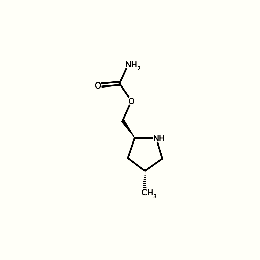 C[C@H]1CN[C@H](COC(N)=O)C1